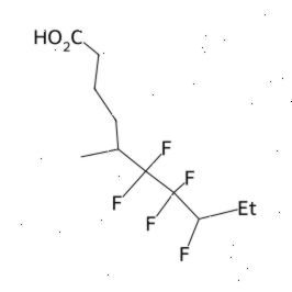 CCC(F)C(F)(F)C(F)(F)C(C)CCCC(=O)O